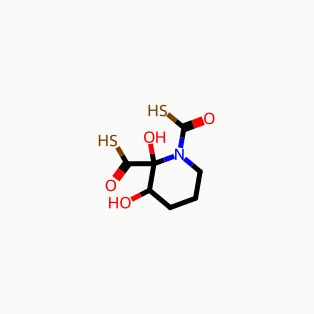 O=C(S)N1CCCC(O)C1(O)C(=O)S